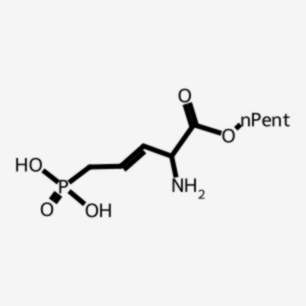 CCCCCOC(=O)C(N)C=CCP(=O)(O)O